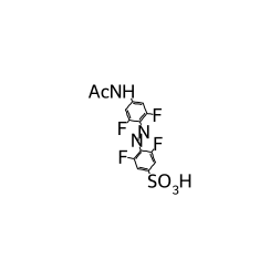 CC(=O)Nc1cc(F)c(/N=N/c2c(F)cc(S(=O)(=O)O)cc2F)c(F)c1